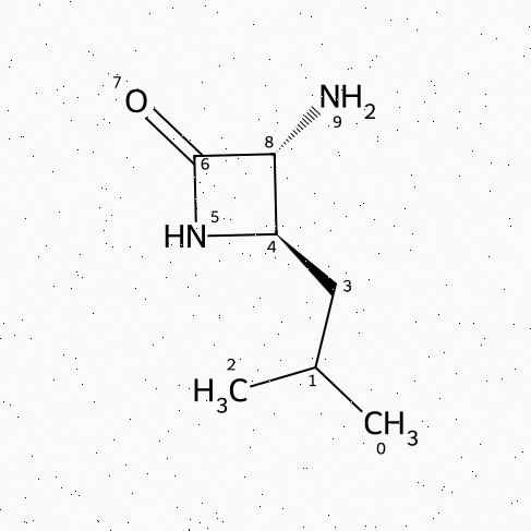 CC(C)C[C@H]1NC(=O)[C@@H]1N